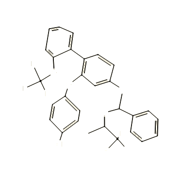 CC(OC(Oc1ccc(-c2ccccc2OC(F)(F)F)c(Oc2ccc(Cl)cc2)c1)c1ccccc1)C(F)(F)F